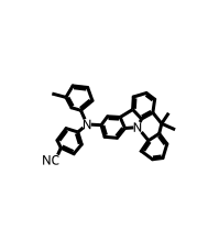 Cc1cccc(N(c2ccc(C#N)cc2)c2ccc3c(c2)c2cccc4c2n3-c2ccccc2C4(C)C)c1